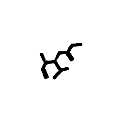 C=CN(C)[C@@H](CC(=C)CC)C(C)C